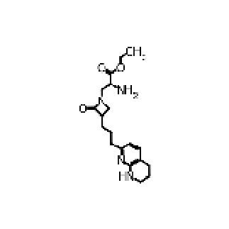 CCOC(=O)[C@@H](N)CN1CC(CCCc2ccc3c(n2)NCCC3)C1=O